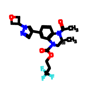 CC(=O)N1c2ccc(-c3cnn(C4COC4)c3)cc2N(C(=O)OCCC(F)(F)F)C[C@@H]1C